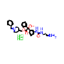 Cl.Cl.NCCCNC(=O)Nc1cccc(C(O)(C(=O)OCC2CCN(Cc3ccccc3)CC2)c2ccccc2)c1